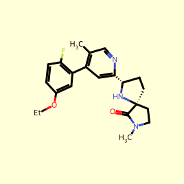 CCOc1ccc(F)c(-c2cc([C@@H]3CC[C@@]4(CCN(C)C4=O)N3)ncc2C)c1